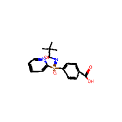 CC(C)(C)C(=O)N=S(=O)(c1ccc(C(=O)O)cc1)c1ccccn1